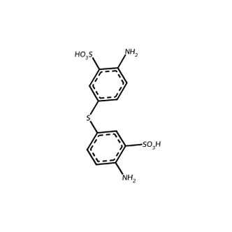 Nc1ccc(Sc2ccc(N)c(S(=O)(=O)O)c2)cc1S(=O)(=O)O